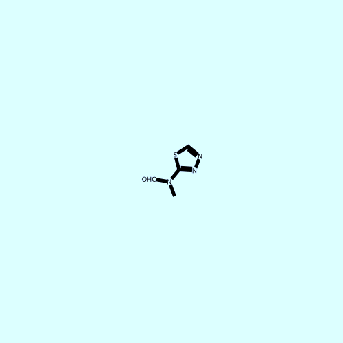 CN([C]=O)c1nncs1